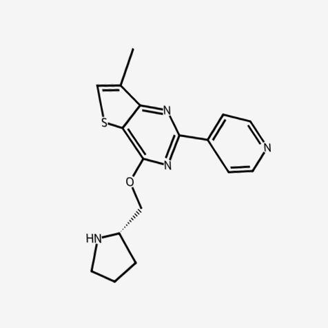 Cc1csc2c(OC[C@@H]3CCCN3)nc(-c3ccncc3)nc12